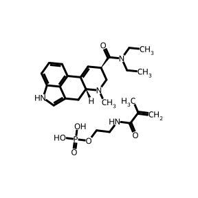 C=C(C)C(=O)NCCOP(=O)(O)O.CCN(CC)C(=O)[C@@H]1C=C2c3cccc4[nH]cc(c34)C[C@H]2N(C)C1